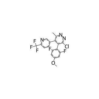 COc1cc(F)c(-c2c(Cl)nnc(C)c2-c2ccc(C(F)(F)F)nc2)c(F)c1